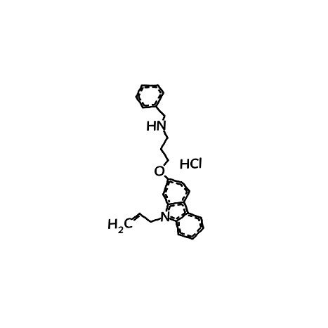 C=CCn1c2ccccc2c2ccc(OCCCNCc3ccccc3)cc21.Cl